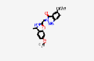 COc1ccc2nnn(CC(=O)NC(C)c3ccc(OC(F)(F)F)cc3)c(=O)c2c1